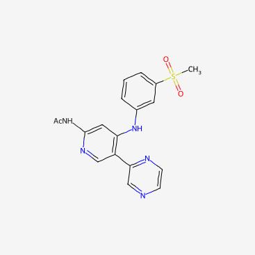 CC(=O)Nc1cc(Nc2cccc(S(C)(=O)=O)c2)c(-c2cnccn2)cn1